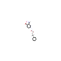 Cc1noc(=O)c2ccc(NC(=O)C(O)(CC(C)(C)c3ccccc3Cl)C(F)(F)F)cc12